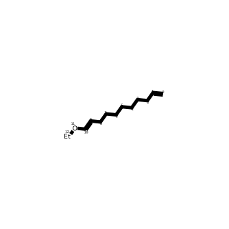 C=CCCCCCCCC=COCC